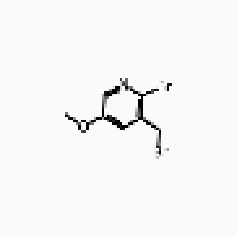 COc1cnc(Br)c(CBr)c1